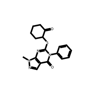 Cn1ncc2c(=O)n(-c3ccccc3)c(SC3CCCCC3=O)nc21